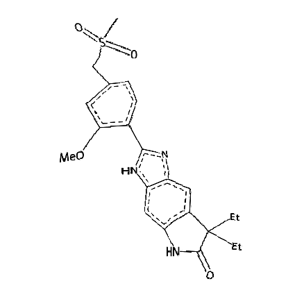 CCC1(CC)C(=O)Nc2cc3[nH]c(-c4ccc(CS(C)(=O)=O)cc4OC)nc3cc21